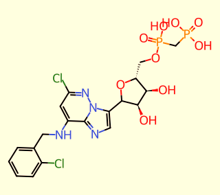 O=P(O)(O)CP(=O)(O)OC[C@H]1OC(c2cnc3c(NCc4ccccc4Cl)cc(Cl)nn23)[C@H](O)[C@@H]1O